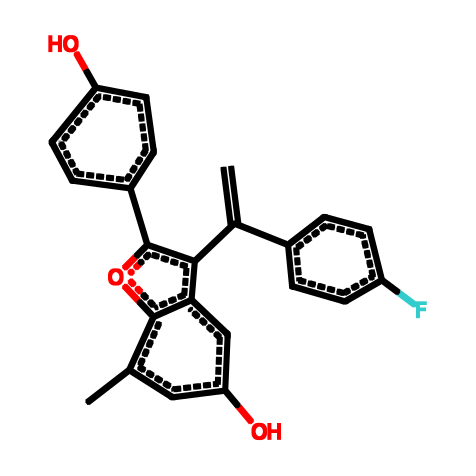 C=C(c1ccc(F)cc1)c1c(-c2ccc(O)cc2)oc2c(C)cc(O)cc12